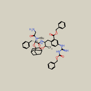 CC(C)(C)N(C(=O)CN)[C@](Cc1ccccc1)(OC12CC3CC(CC(C3)C1)C2)C(=O)NC(Cc1ccc(NC(=N)NC(=O)OCc2ccccc2)cc1C(=O)OCc1ccccc1)C(O)C(F)(F)F